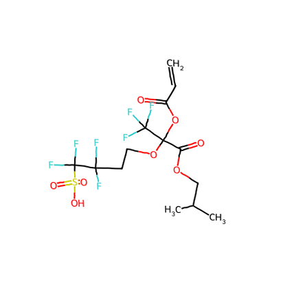 C=CC(=O)OC(OCCC(F)(F)C(F)(F)S(=O)(=O)O)(C(=O)OCC(C)C)C(F)(F)F